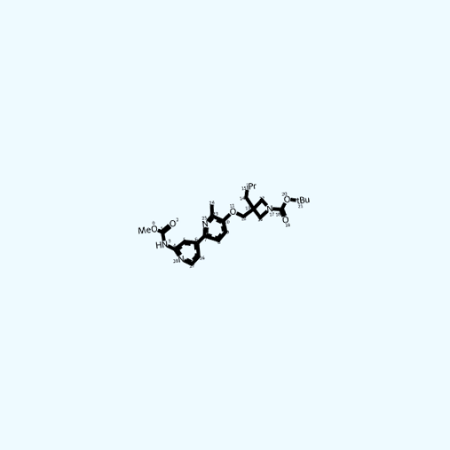 COC(=O)Nc1cc(-c2ccc(OCC3(CC(C)C)CN(C(=O)OC(C)(C)C)C3)c(C)n2)ccn1